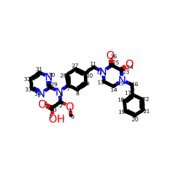 COC(C(=O)O)N(c1ccc(CN2CCN(Cc3ccccc3)C(=O)C2=O)cc1)c1ncccn1